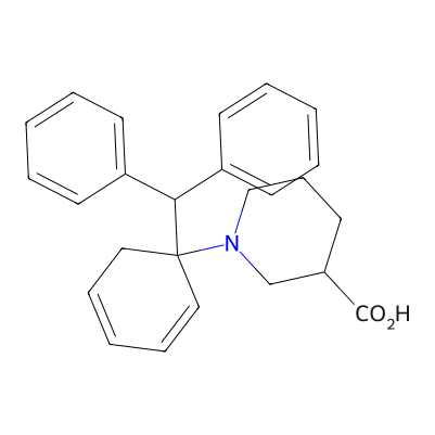 O=C(O)C1CCCN(C2(C(c3ccccc3)c3ccccc3)C=CC=CC2)C1